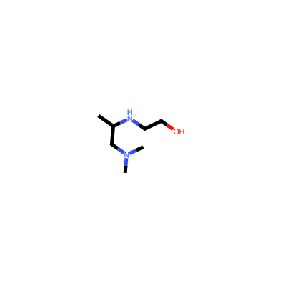 CC(CN(C)C)NCCO